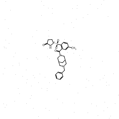 Cc1ccc(S(=O)(=O)[C@H]2CCC(=O)N2)c(C(=O)N2CC3CC(CN(Cc4ccccc4)C3)C2)c1